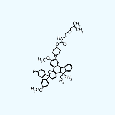 C=C(C)COCCNC(=O)OC1CCN(c2cc3c4c(c5c(c3cc2OC)OC(c2ccc(F)cc2)(c2ccc(OC)cc2)C=C5)C(C)(C)c2ccccc2-4)CC1